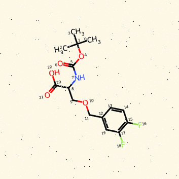 CC(C)(C)OC(=O)NC(COCc1ccc(F)c(F)c1)C(=O)O